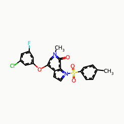 Cc1ccc(S(=O)(=O)n2ccc3c(Oc4cc(F)cc(Cl)c4)cn(C)c(=O)c32)cc1